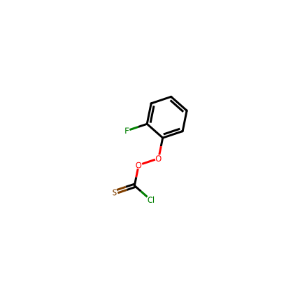 Fc1ccccc1OOC(=S)Cl